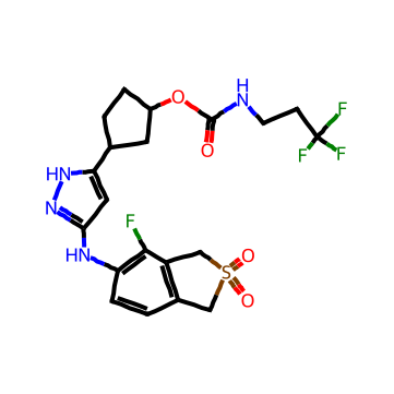 O=C(NCCC(F)(F)F)OC1CCC(c2cc(Nc3ccc4c(c3F)CS(=O)(=O)C4)n[nH]2)C1